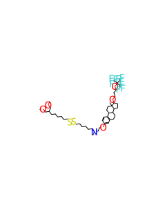 COCC(CCCCCCSSCCCCCCN(C)CCOc1ccc2c(c1)CCC1C2CCC2(C)C(OCCCOC(C(F)(F)F)(C(F)(F)F)C(F)(F)F)CCC12)COC